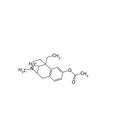 CCC12CCN(C)C(Cc3ccc(OC(C)=O)cc31)C2C